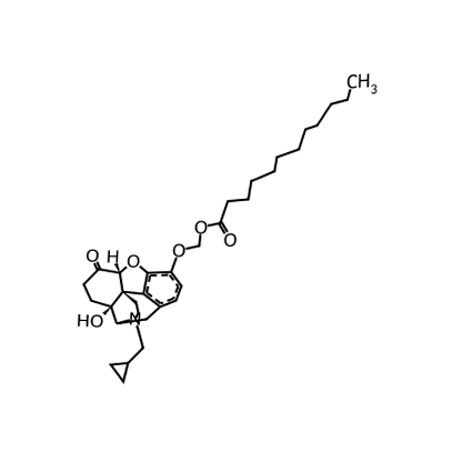 CCCCCCCCCCCC(=O)OCOc1ccc2c3c1O[C@H]1C(=O)CC[C@@]4(O)C(C2)N(CC2CC2)CC[C@]314